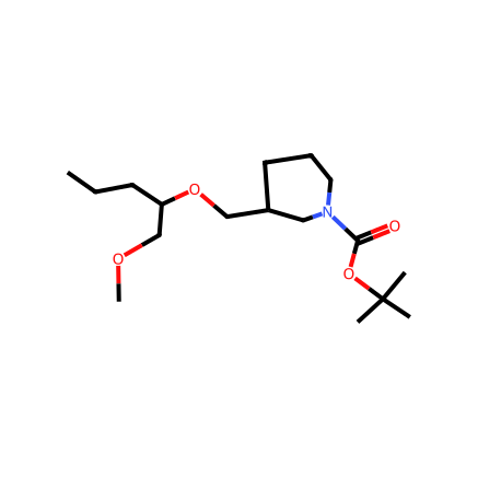 CCCC(COC)OCC1CCCN(C(=O)OC(C)(C)C)C1